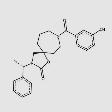 C[C@@H](c1ccccc1)N1C[C@]2(CCCN(C(=O)c3cccc(C#N)c3)CC2)OC1=O